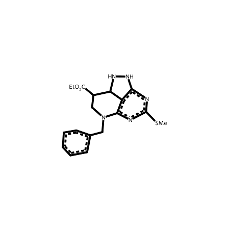 CCOC(=O)C1CN(Cc2ccccc2)c2nc(SC)nc3c2C1NN3